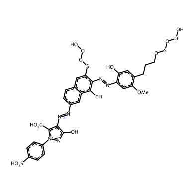 COc1cc(N=Nc2c(SOOO)cc3ccc(/N=N/c4c(O)nn(-c5ccc(S(=O)(=O)O)cc5)c4C(=O)O)cc3c2O)c(O)cc1CCCOSOOO